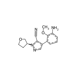 COc1c(N)cccc1-c1cnn([C@H]2CCOC2)c1C#N